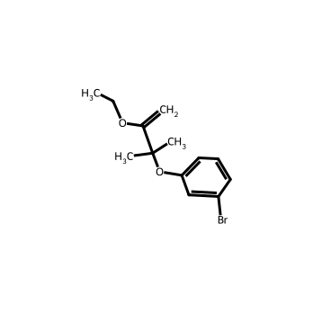 C=C(OCC)C(C)(C)Oc1cccc(Br)c1